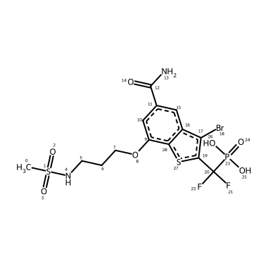 CS(=O)(=O)NCCCOc1cc(C(N)=O)cc2c(Br)c(C(F)(F)P(=O)(O)O)sc12